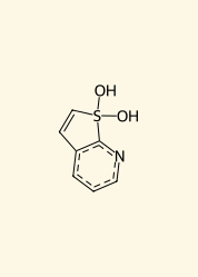 OS1(O)C=Cc2cccnc21